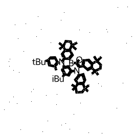 CCC(C)c1cc2c3c(c1)N(c1ccc4c(c1)C(C)(C)CCC4(C)C)c1c(oc4cc5c(cc14)C(C)(C)CCC5(C)C)B3c1cc3c(cc1N2c1ccc(C(C)(C)C)cc1C)C(C)(C)CCC3(C)C